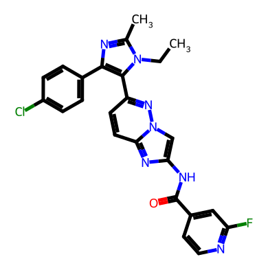 CCn1c(C)nc(-c2ccc(Cl)cc2)c1-c1ccc2nc(NC(=O)c3ccnc(F)c3)cn2n1